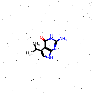 CC(C)c1c[nH]c2nc(N)[nH]c(=O)c12